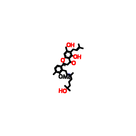 COc1c(C)ccc([C@@H]2CC(=O)c3c(cc(CO)c(CC=C(C)C)c3O)O2)c1C/C=C(\C)CCCC(C)(C)O